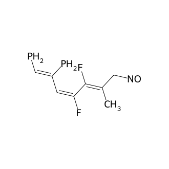 C\C(CN=O)=C(F)/C(F)=C\C(P)=C\P